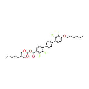 CCCCCCOc1ccc(-c2ccc(-c3ccc(C(=O)OC4OCC(CCCCC)CO4)c(F)c3F)cc2)c(F)c1F